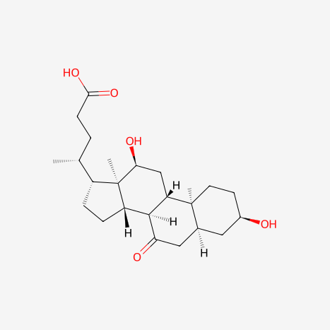 C[C@H](CCC(=O)O)[C@H]1CC[C@H]2[C@@H]3C(=O)C[C@@H]4C[C@H](O)CC[C@]4(C)[C@H]3C[C@H](O)[C@]12C